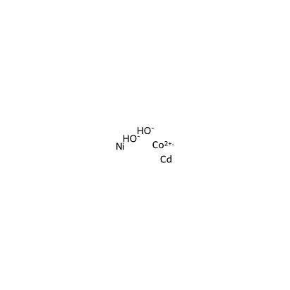 [Cd].[Co+2].[Ni].[OH-].[OH-]